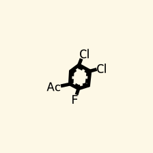 CC(=O)c1cc(Cl)c(Cl)cc1F